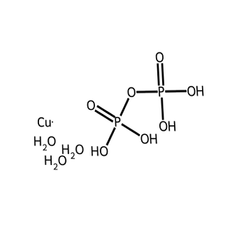 O.O.O.O=P(O)(O)OP(=O)(O)O.[Cu]